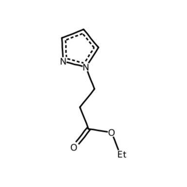 CCOC(=O)CCn1cccn1